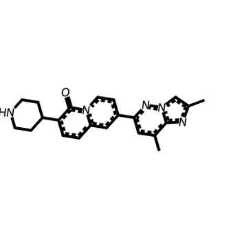 Cc1cn2nc(-c3ccn4c(=O)c(C5CCNCC5)ccc4c3)cc(C)c2n1